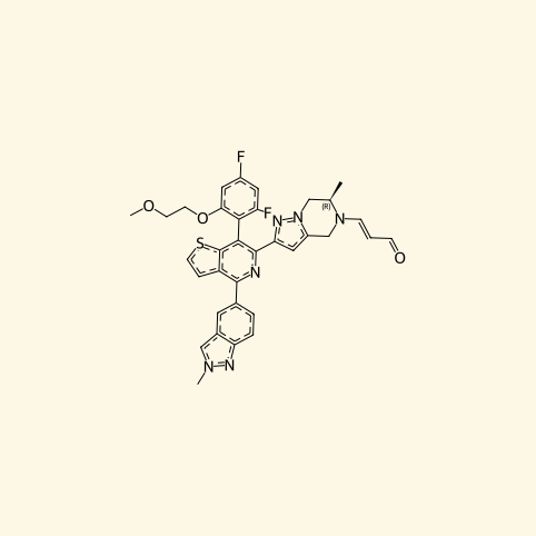 COCCOc1cc(F)cc(F)c1-c1c(-c2cc3n(n2)C[C@@H](C)N(C=CC=O)C3)nc(-c2ccc3nn(C)cc3c2)c2ccsc12